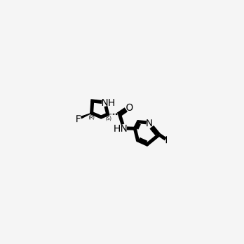 O=C(Nc1ccc(I)nc1)[C@@H]1C[C@@H](F)CN1